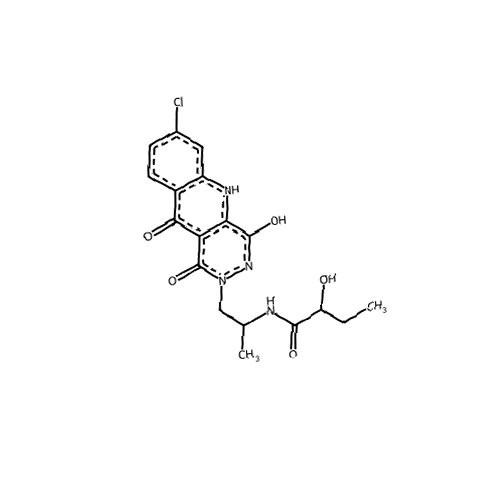 CCC(O)C(=O)NC(C)Cn1nc(O)c2[nH]c3cc(Cl)ccc3c(=O)c2c1=O